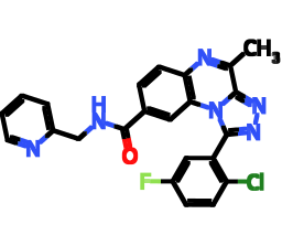 Cc1nc2ccc(C(=O)NCc3ccccn3)cc2n2c(-c3cc(F)ccc3Cl)nnc12